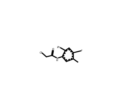 Cc1cc(NC(=O)CCl)c(C(C)C)cc1F